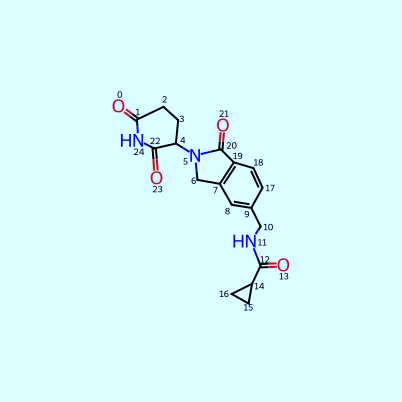 O=C1CCC(N2Cc3cc(CNC(=O)C4CC4)ccc3C2=O)C(=O)N1